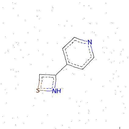 c1cc(-c2cs[nH]2)ccn1